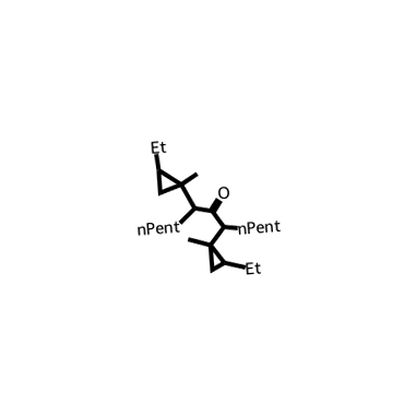 CCCCCC(C(=O)C(CCCCC)C1(C)CC1CC)C1(C)CC1CC